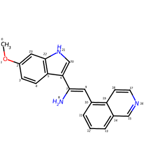 COc1ccc2c(/C(N)=C/c3cccc4cnccc34)c[nH]c2c1